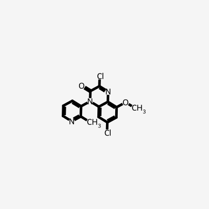 COc1cc(Cl)cc2c1nc(Cl)c(=O)n2-c1cccnc1C